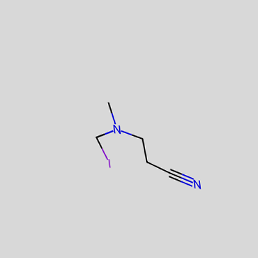 CN(CI)CCC#N